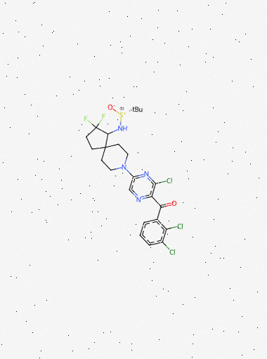 CC(C)(C)[S@@+]([O-])NC1C(F)(F)CCC12CCN(c1cnc(C(=O)c3cccc(Cl)c3Cl)c(Cl)n1)CC2